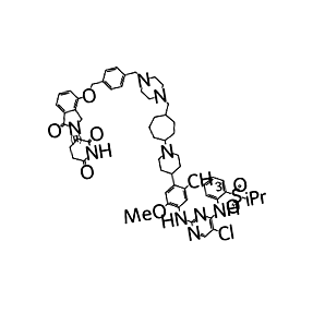 COc1cc(C2CCN(C3CCCC(CN4CCN(Cc5ccc(COc6cccc7c6CN([C@@H]6CCC(=O)NC6=O)C7=O)cc5)CC4)CC3)CC2)c(C)cc1Nc1ncc(Cl)c(Nc2ccccc2S(=O)(=O)C(C)C)n1